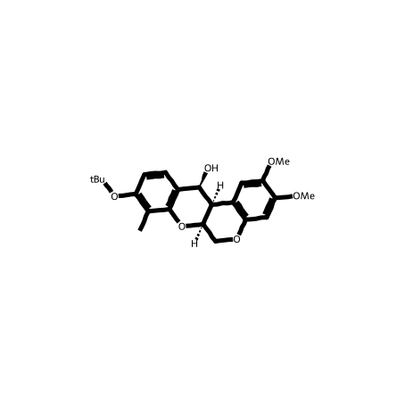 COc1cc2c(cc1OC)[C@@H]1[C@H](O)c3ccc(OC(C)(C)C)c(C)c3O[C@@H]1CO2